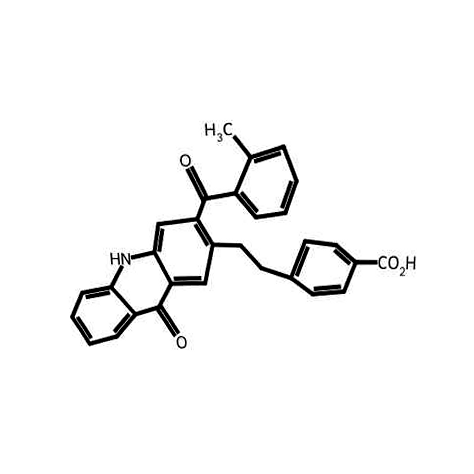 Cc1ccccc1C(=O)c1cc2[nH]c3ccccc3c(=O)c2cc1CCc1ccc(C(=O)O)cc1